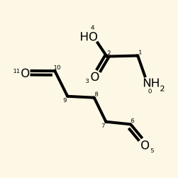 NCC(=O)O.O=CCCCC=O